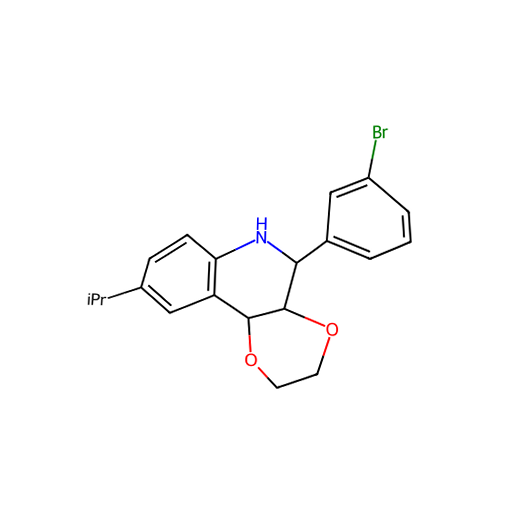 CC(C)c1ccc2c(c1)C1OCCOC1C(c1cccc(Br)c1)N2